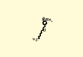 CCCCCCCC(=O)CCC1=CCC(OC)=C(N=O)C=C1